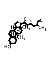 CC(CCl)CCC[C@@H](C)[C@H]1CC[C@H]2[C@@H]3CC=C4C[C@@H](O)CC[C@]4(C)[C@H]3CC[C@]12C